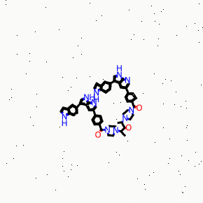 CC(C(=O)C(C)N1CCN(C(=O)c2ccc(-c3cnc4[nH]cc(-c5ccc6[nH]ccc6c5)c4c3)cc2)CC1)N1CCN(C(=O)c2ccc(-c3cnc4[nH]cc(-c5ccc6[nH]ccc6c5)c4c3)cc2)CC1